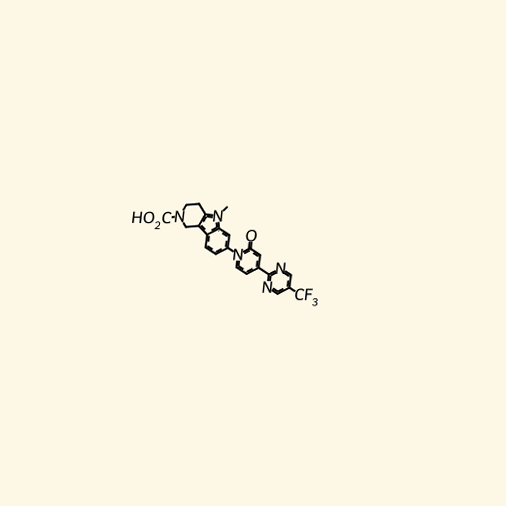 Cn1c2c(c3ccc(-n4ccc(-c5ncc(C(F)(F)F)cn5)cc4=O)cc31)CN(C(=O)O)CC2